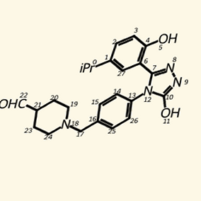 CC(C)c1ccc(O)c(-c2nnc(O)n2-c2ccc(CN3CCC(C=O)CC3)cc2)c1